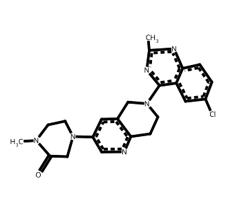 Cc1nc(N2CCc3ncc(N4CCN(C)C(=O)C4)cc3C2)c2cc(Cl)ccc2n1